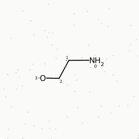 N[CH]C[O]